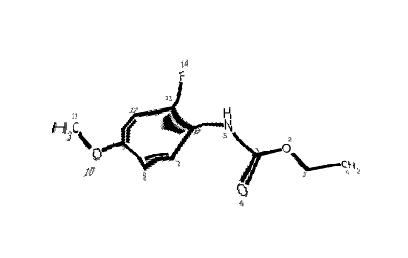 C[CH]OC(=O)Nc1ccc(OC)cc1F